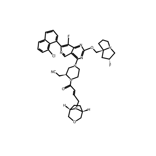 N#CC[C@H]1CN(c2nc(OC[C@@]34CCCN3C[C@H](F)C4)nc3c(F)c(-c4cccc5cccc(Cl)c45)ncc23)CCN1C(=O)/C=C/CN1[C@@H]2CC[C@H]1COC2